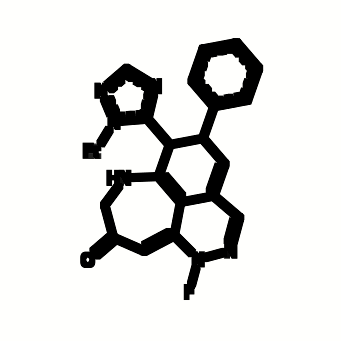 CCn1ncnc1C1C2=C3C(=CC1c1ccccc1)C=NN(F)C3=CC(=O)CN2